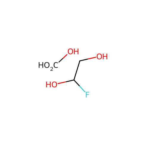 O=C(O)O.OCC(O)F